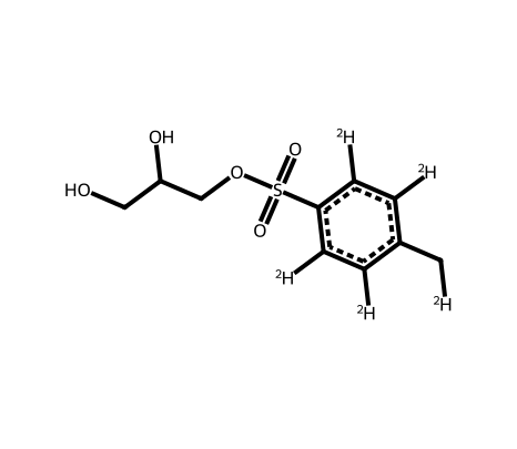 [2H]Cc1c([2H])c([2H])c(S(=O)(=O)OCC(O)CO)c([2H])c1[2H]